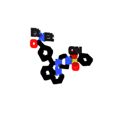 CCN(CC)C(=O)c1ccc(C(c2cccc3cccnc23)N2CCN(S(=O)(=O)c3ccccc3N=O)CC2)cc1